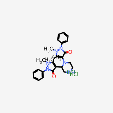 Cc1c(C2CNCCN2c2c(C)n(C)n(-c3ccccc3)c2=O)c(=O)n(-c2ccccc2)n1C.Cl.Cl